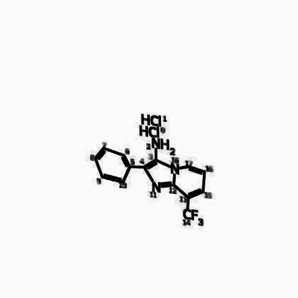 Cl.Cl.Nc1c(-c2ccccc2)nc2c(C(F)(F)F)cccn12